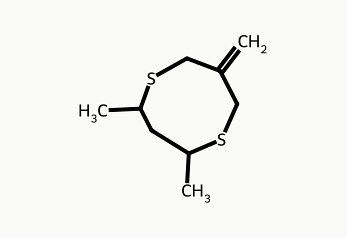 C=C1CSC(C)CC(C)SC1